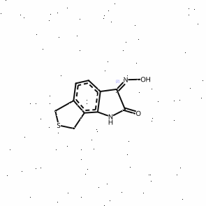 O=C1Nc2c(ccc3c2CSC3)/C1=N/O